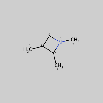 CC1CN(C)C1C